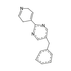 C1=NCC=C(c2ncc(Cc3ccccc3)cn2)C1